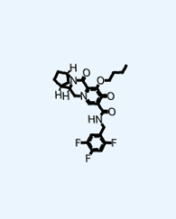 CCCCOc1c2n(cc(C(=O)NCc3cc(F)c(F)cc3F)c1=O)C[C@H]1[C@@H]3CC[C@@H](C3)N1C2=O